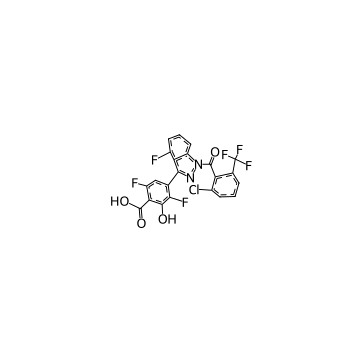 O=C(O)c1c(F)cc(-c2nn(C(=O)c3c(Cl)cccc3C(F)(F)F)c3cccc(F)c23)c(F)c1O